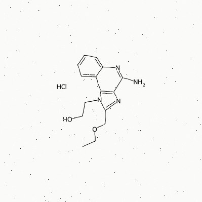 CCOCc1nc2c(N)nc3ccccc3c2n1CCO.Cl